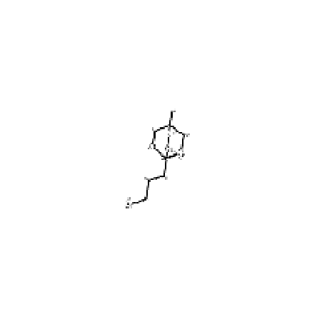 CC12COC(CCCBr)(OC1)OC2